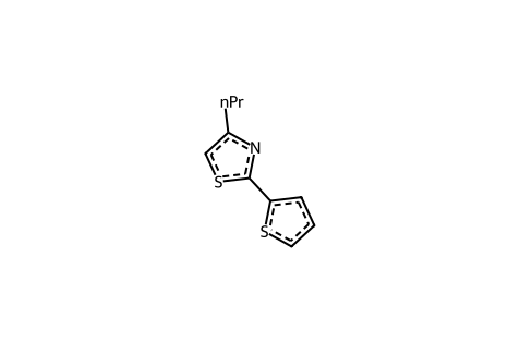 CCCc1csc(-c2cccs2)n1